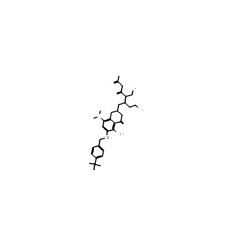 CC(=O)CC(=O)C(CO)C(CCO)CC1CC(=O)c2c(O)c(NCc3ccc(C(C)(C)C)cc3)cc(N(C)C)c2C1